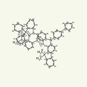 CC(C)c1cccc(C(C)C)c1N1C(c2ccc(N(c3ccc(-c4ccccc4)cc3)c3ccc4c(c3)C(C)(C)c3ccccc3-4)cc2)c2ccccc2C1(c1ccccc1)c1ccccc1